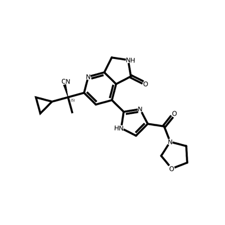 C[C@@](C#N)(c1cc(-c2nc(C(=O)N3CCOC3)c[nH]2)c2c(n1)CNC2=O)C1CC1